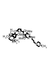 COc1cc2c(c(C)c1Oc1ccc(C(=O)Nc3c(OC)nc(NCCCN4CCN(C)CC4)nc3OC)o1)[Si](C)(C)CC[Si]2(C)C